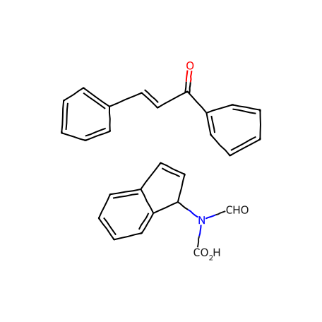 O=C(/C=C/c1ccccc1)c1ccccc1.O=CN(C(=O)O)C1C=Cc2ccccc21